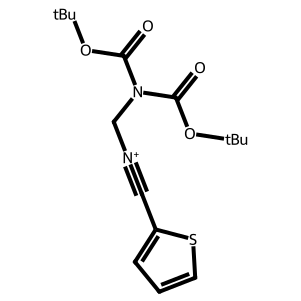 CC(C)(C)OC(=O)N(C[N+]#Cc1cccs1)C(=O)OC(C)(C)C